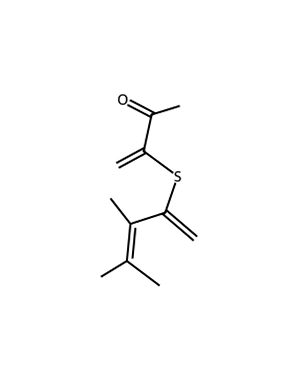 C=C(SC(=C)C(C)=C(C)C)C(C)=O